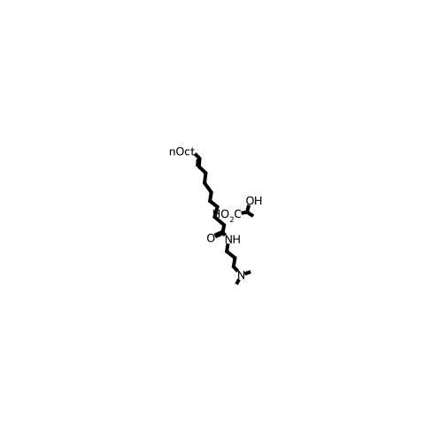 CC(O)C(=O)O.CCCCCCCCC=CCCCCCCCC(=O)NCCCN(C)C